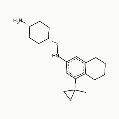 CC1(c2cc(NC[C@H]3CC[C@@H](N)CC3)cc3c2CCCC3)CC1